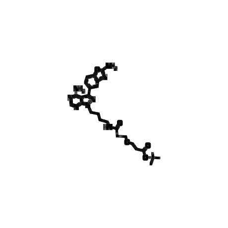 CC(C)(C)OC(=O)CCOCCC(=O)NCCCCn1nc(-c2ccc3oc(N)nc3c2)c2c(N)ncnc21